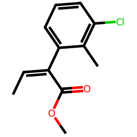 CC=C(C(=O)OC)c1cccc(Cl)c1C